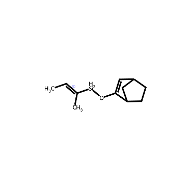 C/C=C(\C)[SiH2]OC1=CC2CCC1C2